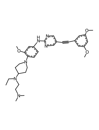 CCN(CCN(C)C)C1CCN(c2ccc(Nc3ncc(C#Cc4cc(OC)cc(OC)c4)cn3)cc2OC)CC1